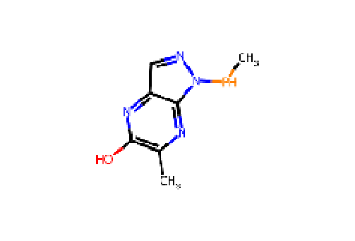 CPn1ncc2nc(O)c(C)nc21